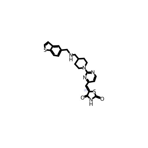 O=C1NC(=O)/C(=C/c2ccnc(N3CCC(CNCc4ccc5sccc5c4)CC3)n2)S1